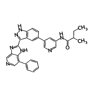 CCC(C)C(=O)Nc1cncc(-c2ccc3[nH]nc(-c4nc5cncc(-c6ccccc6)c5[nH]4)c3c2)c1